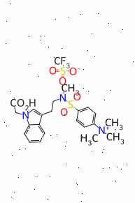 CN(CCc1cn(CC(=O)O)c2ccccc12)S(=O)(=O)c1ccc([N+](C)(C)C)cc1.O=S(=O)([O-])C(F)(F)F